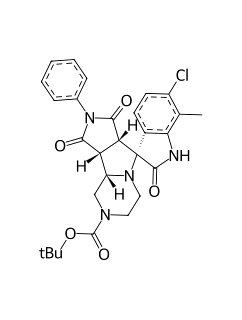 Cc1c(Cl)ccc2c1NC(=O)[C@@]21[C@H]2C(=O)N(c3ccccc3)C(=O)[C@H]2[C@H]2CN(C(=O)OC(C)(C)C)CCN21